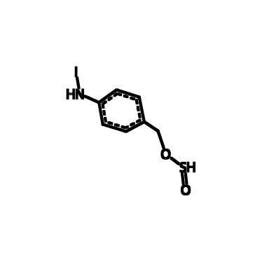 O=[SH]OCc1ccc(NI)cc1